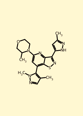 Cc1cc(-c2nsc3c(-c4c(C)cnn4C)cc(N4CCOCC4C)nc23)[nH]n1